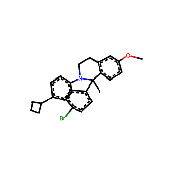 COc1ccc2c(c1)CCN(c1ccc(C3CCC3)cc1)C2(C)c1ccc(Br)cc1